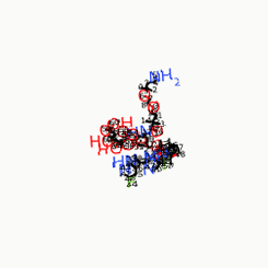 CC(C)(CCN)OCCOCCC(C)(C)C(=O)Nc1cc(COC(=O)[C@H]2C3CCC(CC3)[C@@H]2Nc2nc(-c3c[nH]c4ncc(F)cc34)ncc2F)ccc1O[C@@H]1O[C@H](C(=O)O)[C@@H](O)[C@H](O)[C@H]1O